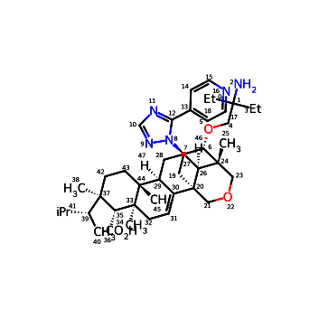 CCC(N)(CC)CO[C@H]1[C@H](n2ncnc2-c2ccncc2)C[C@@]23COC[C@]1(C)[C@@H]2CC[C@H]1C3=CC[C@@]2(C)[C@H](C(=O)O)[C@@](C)([C@H](C)C(C)C)CC[C@]12C